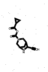 C#CC1NC2CC1CN(C(=O)OC(=O)C1CC1)C2